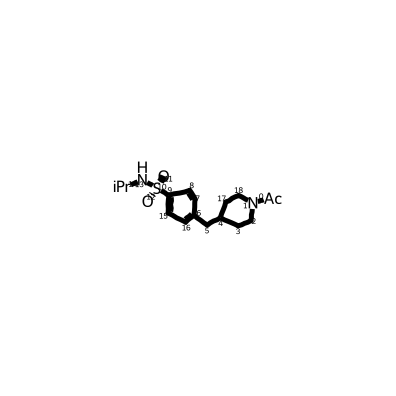 CC(=O)N1CCC(Cc2ccc(S(=O)(=O)NC(C)C)cc2)CC1